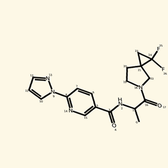 CC(NC(=O)c1ccc(-n2cccn2)nc1)C(=O)N1CCC2(C1)CC2(F)F